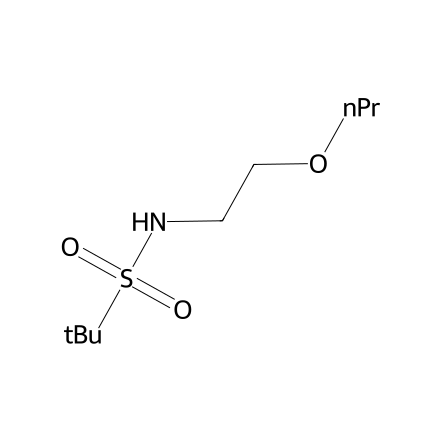 CCCOCCNS(=O)(=O)C(C)(C)C